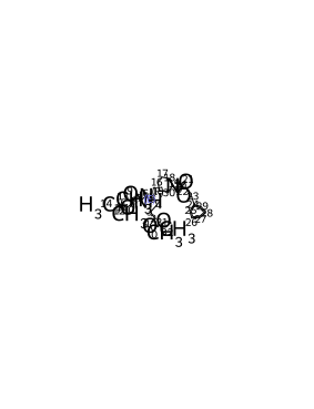 COC(CC/C(=N\NC(=O)OC(C)(C)C)[C@@H]1CCCN(C(=O)OCc2ccccc2)C1)OC